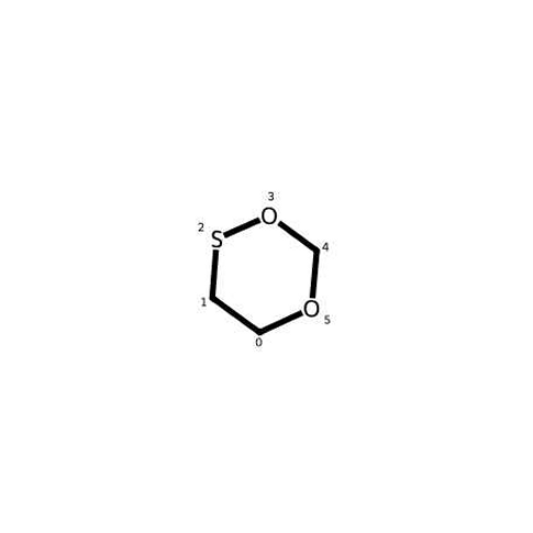 C1CSOCO1